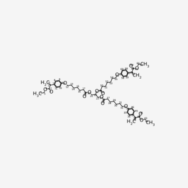 C=C(C(=O)OCC)c1ccc(OCCCCCCC(=O)OCC(COC(=O)CCCCCCOc2ccc(C(=C)C(=O)OCC)cc2)OC(=O)CCCCCCOc2ccc(C(=C)C(=O)OCC)cc2)cc1